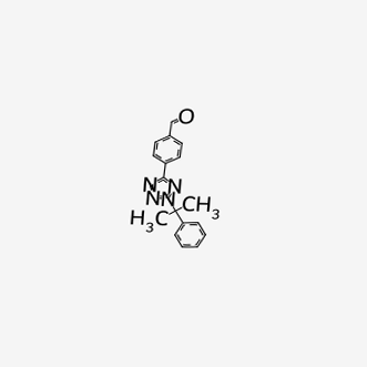 CC(C)(c1ccccc1)n1nnc(-c2ccc(C=O)cc2)n1